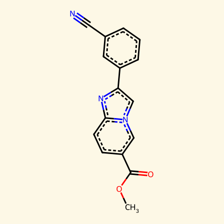 COC(=O)c1ccc2nc(-c3cccc(C#N)c3)cn2c1